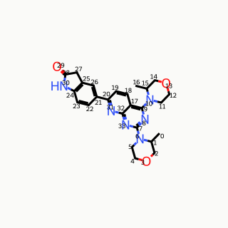 CC1COCCN1c1nc(N2CCOCC2C)c2ccc(-c3ccc4c(c3)CC(=O)N4)nc2n1